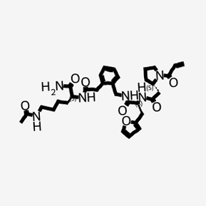 C=CC(=O)N1CCC[C@H]1CC(=O)N[C@@H](Cc1ccco1)C(=O)NCc1ccccc1CC(=O)N[C@@H](CCCCNC(C)=O)C(N)=O